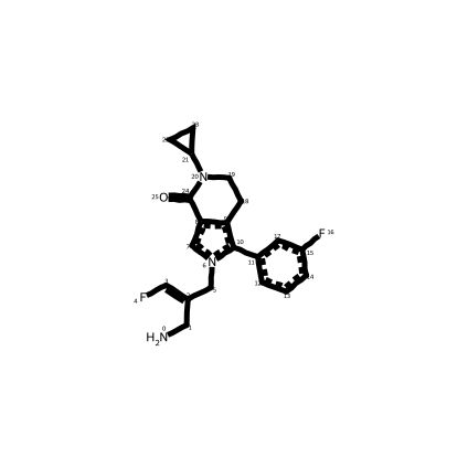 NCC(=CF)Cn1cc2c(c1-c1cccc(F)c1)CCN(C1CC1)C2=O